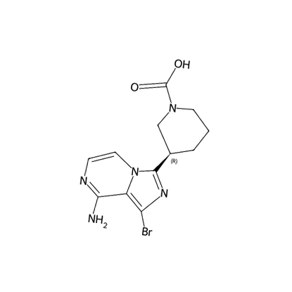 Nc1nccn2c([C@@H]3CCCN(C(=O)O)C3)nc(Br)c12